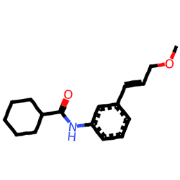 COCC=Cc1cccc(NC(=O)C2CCCCC2)c1